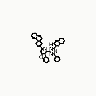 c1ccc(C2=NC(c3ccc4ccccc4c3)NC(c3nc(-c4ccc5c(ccc6ccccc65)c4)cc4oc5ccccc5c34)=N2)cc1